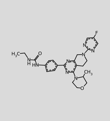 CCNC(=O)Nc1ccc(-c2nc3c(c(N4CCOCC4C)n2)CCN(c2ncc(F)cn2)C3)cc1